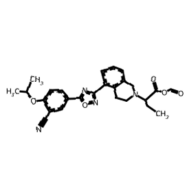 CCC(C(=O)OC=O)N1CCc2c(cccc2-c2noc(-c3ccc(OC(C)C)c(C#N)c3)n2)C1